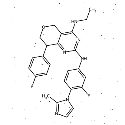 CCNc1nc(Nc2ccc(-n3ccnc3C)c(F)c2)nc2c1COCC2c1ccc(F)cc1